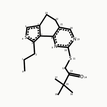 CCCc1scc2c1-c1nc(SCC(=O)C(C)(C)C)ncc1CC2